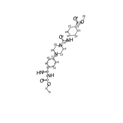 CCOC(=O)NC(=N)c1ccc(N2CCN(C(=O)N[C@H]3CC[C@H](C(=O)OC)CC3)CC2)cc1